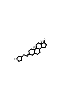 C[C@]12CCC(=NOC3CCNC3)CC1CCC1C2CC[C@]2(C)C(=O)CCC12